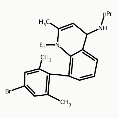 CCCNC1C=C(C)N(CC)c2c(-c3c(C)cc(Br)cc3C)cccc21